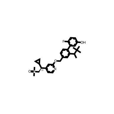 CC(c1cc(COc2cc([C@@H](CP(C)(C)=O)C3CC3)ccn2)ccc1-c1cc(O)ccc1F)C(C)(C)C